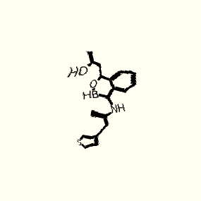 C=C(O)CC1OBC(NC(=C)Cc2ccsc2)c2ccccc21